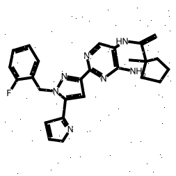 C=C(Nc1cnc(-c2cc(C3=NCC=C3)n(Cc3ccccc3F)n2)nc1N)C1(C)CCCC1